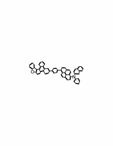 c1ccc(N(c2ccc3ccccc3c2)c2ccc3ccc4c(-c5ccc(-c6ccc7c(c6)c6ccccc6c6c7ccc7oc8ccccc8c76)cc5)ccc5ccc2c3c54)cc1